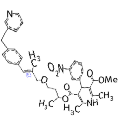 COC(=O)C1=C(C)NC(C)=C(C(=O)OC(C)CCOC/C(C)=C/c2ccc(Cc3cccnc3)cc2)C1c1cccc([N+](=O)[O-])c1